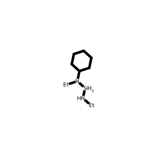 CCN[SiH2]N(CC)C1CCCCC1